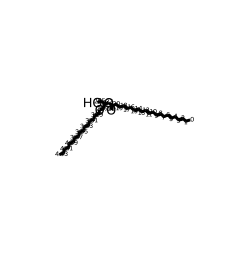 CCC=CCC=CCC=CCC=CCC=CCC=CCCC(=O)OC(CO)COCCCCCCCCCCCCCCCC